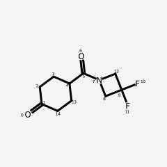 O=C1CCC(C(=O)N2CC(F)(F)C2)CC1